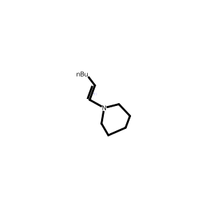 CCCC/C=C/N1CCCCC1